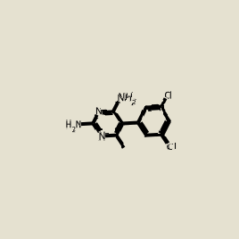 Cc1nc(N)nc(N)c1-c1cc(Cl)cc(Cl)c1